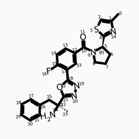 Cc1csc([C@H]2CCCN2C(=O)c2ccc(F)c(-c3nnc([C@@](C)(N)Cc4ccccc4)o3)c2)n1